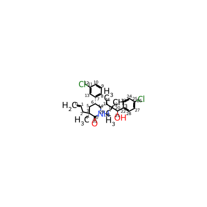 C=CC[C@@]1(C)C[C@H](c2cccc(Cl)c2)[C@H](C(C)C(C)(C)[C@H](O)c2ccc(Cl)cc2)NC1=O